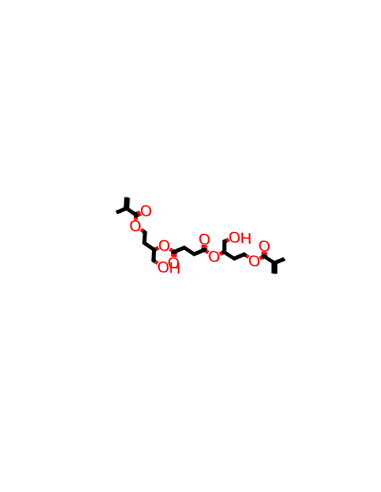 C=C(C)C(=O)OCCC(CO)OC(=O)CCC(=O)OC(CO)CCOC(=O)C(=C)C